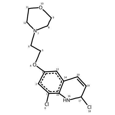 Clc1cc(OCCN2CCOCC2)cc2c1NC(Cl)C=C2